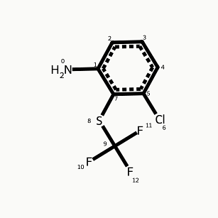 Nc1cccc(Cl)c1SC(F)(F)F